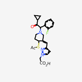 CC(=O)SC1CCN(C(C(=O)C2CC2)c2ccccc2F)C/C1=C/c1ccn(CC(=O)O)n1